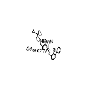 COc1nc(SCc2cccc(-c3ccccc3)c2Br)nc(OC)c1CNOC(=O)C1CC1